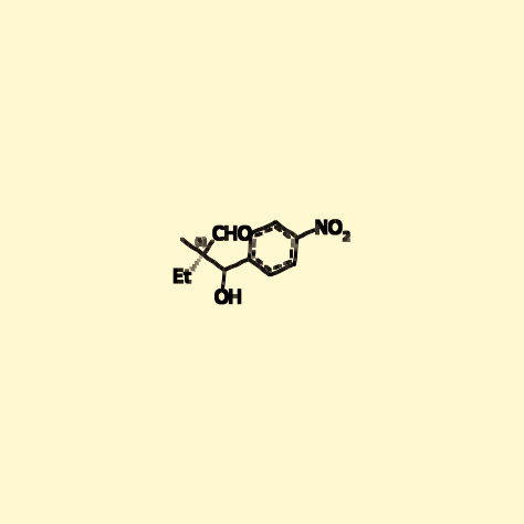 CC[C@](C)(C=O)C(O)c1ccc([N+](=O)[O-])cc1